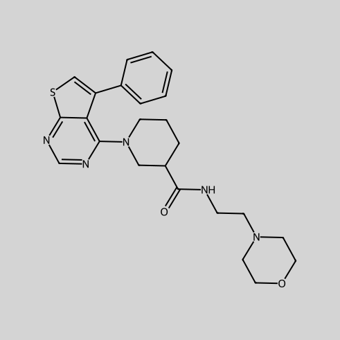 O=C(NCCN1CCOCC1)C1CCCN(c2ncnc3scc(-c4ccccc4)c23)C1